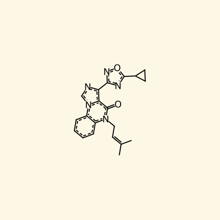 CC(C)=CCn1c(=O)c2c(-c3noc(C4CC4)n3)ncn2c2ccccc21